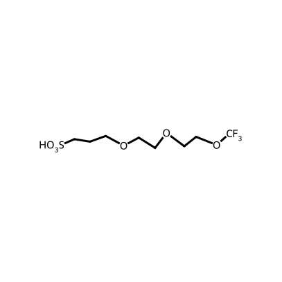 O=S(=O)(O)CCCOCCOCCOC(F)(F)F